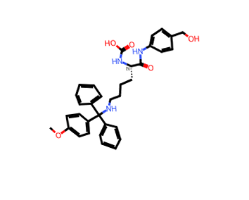 COc1ccc(C(NCCCC[C@H](NC(=O)O)C(=O)Nc2ccc(CO)cc2)(c2ccccc2)c2ccccc2)cc1